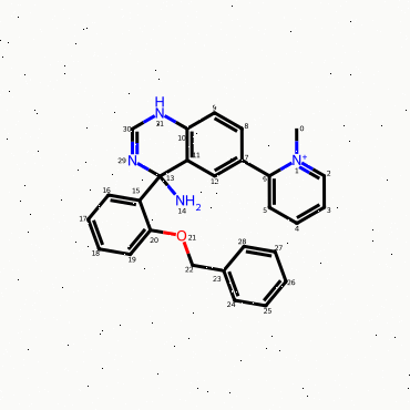 C[n+]1ccccc1-c1ccc2c(c1)C(N)(c1ccccc1OCc1ccccc1)N=CN2